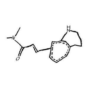 CN(C)C(=O)C=Cc1ccc2c(c1)NCC2